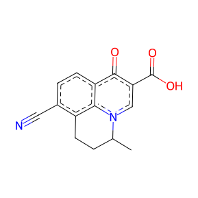 CC1CCc2c(C#N)ccc3c(=O)c(C(=O)O)cn1c23